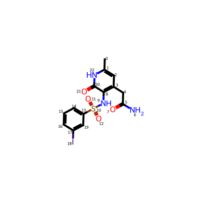 Cc1cc(CC(N)=O)c(NS(=O)(=O)c2cccc(I)c2)c(=O)[nH]1